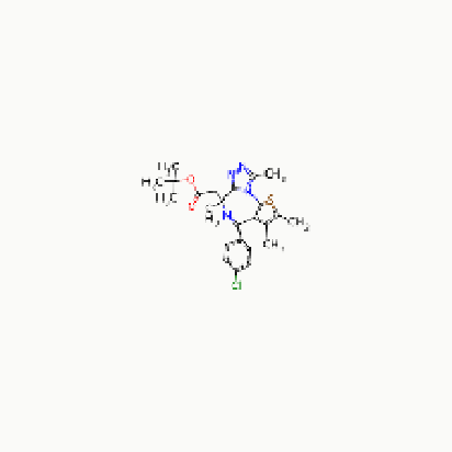 Cc1sc2c(c1C)C(c1ccc(Cl)cc1)=NC(C)(CC(=O)OC(C)(C)C)c1nnc(C)n1-2